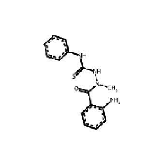 CN(NC(=S)Nc1ccccc1)C(=O)c1ccccc1N